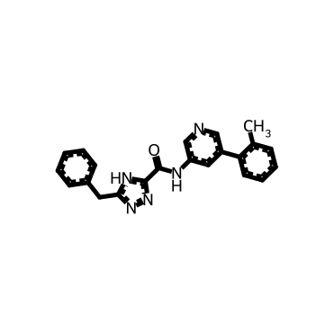 Cc1ccccc1-c1cncc(NC(=O)c2nnc(Cc3ccccc3)[nH]2)c1